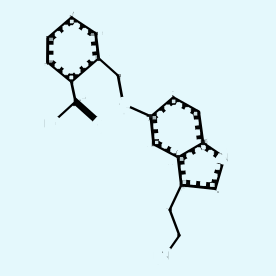 NCCc1c[nH]c2ccc(OCc3ccccc3C(=O)O)cc12